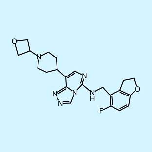 Fc1ccc2c(c1CNc1ncc(C3CCN(C4COC4)CC3)c3nncn13)CCO2